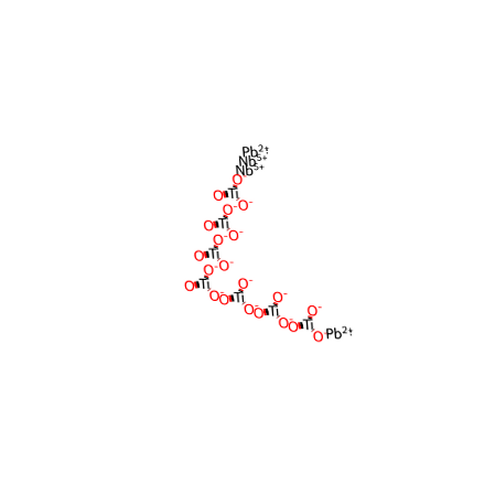 [Nb+5].[Nb+5].[O]=[Ti]([O-])[O-].[O]=[Ti]([O-])[O-].[O]=[Ti]([O-])[O-].[O]=[Ti]([O-])[O-].[O]=[Ti]([O-])[O-].[O]=[Ti]([O-])[O-].[O]=[Ti]([O-])[O-].[Pb+2].[Pb+2]